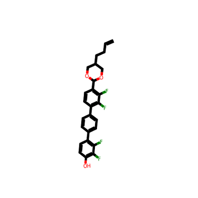 C=CCCC1COC(c2ccc(-c3ccc(-c4ccc(O)c(F)c4F)cc3)c(F)c2F)OC1